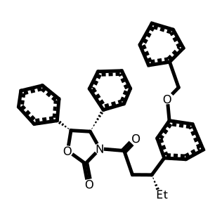 CC[C@H](CC(=O)N1C(=O)O[C@H](c2ccccc2)[C@@H]1c1ccccc1)c1cccc(OCc2ccccc2)c1